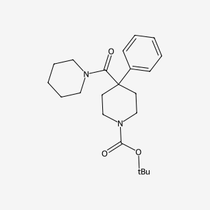 CC(C)(C)OC(=O)N1CCC(C(=O)N2CCCCC2)(c2ccccc2)CC1